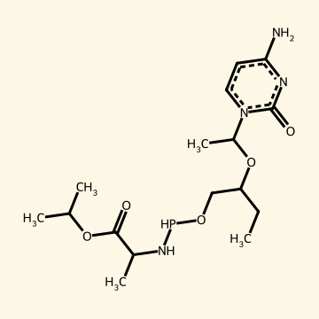 CCC(COPNC(C)C(=O)OC(C)C)OC(C)n1ccc(N)nc1=O